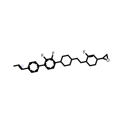 C/C=C/c1ccc(-c2ccc(C3CCC(CCC4CCC(C5CO5)C=C4F)CC3)c(F)c2F)cc1